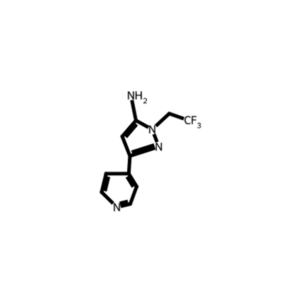 Nc1cc(-c2ccncc2)nn1CC(F)(F)F